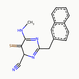 CNC1=NC(Cc2ccc3ccccc3c2)=NC(C#N)C1=S